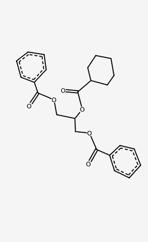 O=C(OCC(COC(=O)c1ccccc1)OC(=O)C1CCCCC1)c1ccccc1